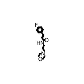 O=C(C=Cc1ccc(F)cc1)NCCCN1CCOCC1